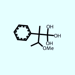 COC(C)C(C)(c1ccccc1)C(O)(O)O